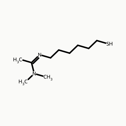 CC(=NCCCCCCS)N(C)C